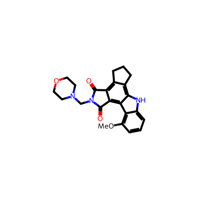 COc1cccc2[nH]c3c4c(c5c(c3c12)C(=O)N(CN1CCOCC1)C5=O)CCC4